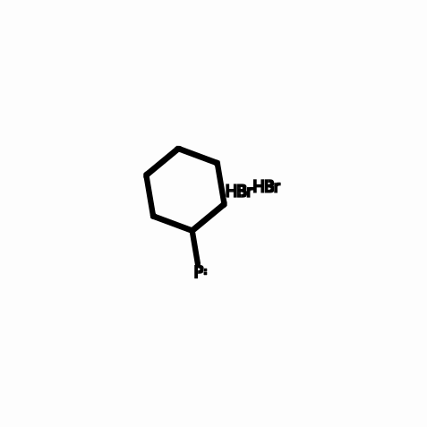 Br.Br.[P]C1CCCCC1